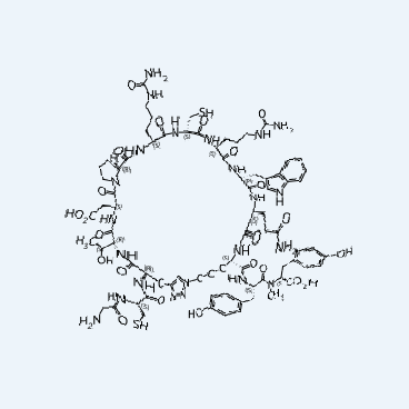 C[C@H](O)[C@H]1NC(=O)[C@H](NC(=O)[C@@H](CS)NC(=O)CN)Cc2cn(nn2)CCC[C@@H](C(=O)N[C@@H](Cc2ccc(O)cc2)C(=O)N(C)[C@@H](Cc2ccc(O)cc2)C(=O)O)NC(=O)[C@H](CCC(N)=O)NC(=O)[C@@H](Cc2c[nH]c3ccccc23)NC(=O)[C@H](CCCNC(N)=O)NC(=O)[C@@H](CS)NC(=O)[C@H](CCCNC(N)=O)NC(=O)[C@H]2CCCN2C(=O)[C@H](CC(=O)O)NC1=O